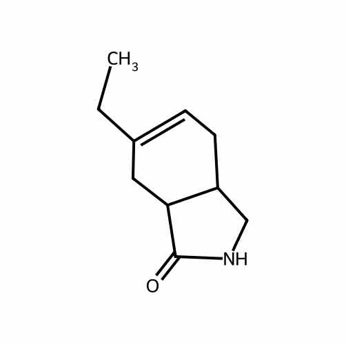 CCC1=CCC2CNC(=O)C2C1